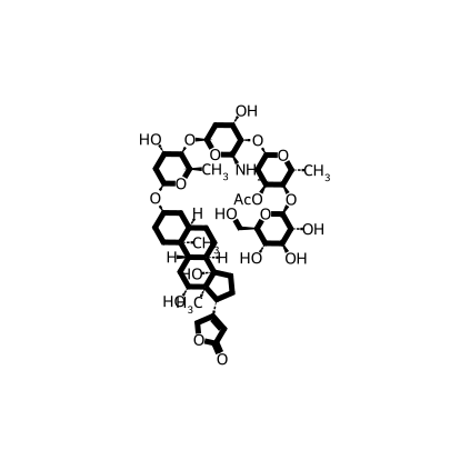 CC(=O)O[C@H]1C[C@H](O[C@H]2[C@@H](O)C[C@H](O[C@H]3[C@@H](O)C[C@@H](O[C@H]4CC[C@@]5(C)[C@H](CC[C@@H]6[C@@H]5C[C@@H](O)[C@]5(C)[C@@H](C7=CC(=O)OC7)CC[C@]65O)C4)O[C@@H]3C)O[C@@H]2N)O[C@H](C)[C@H]1O[C@@H]1O[C@H](CO)[C@@H](O)[C@H](O)[C@H]1O